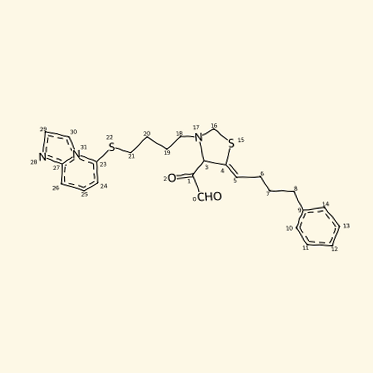 O=CC(=O)C1C(=CCCCc2ccccc2)SCN1CCCCSc1cccc2nccn12